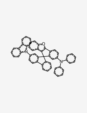 c1ccc(N(c2ccccc2)c2ccc3c(c2)C2(c4ccccc4-c4ccc(-n5c6ccccc6c6ccccc65)cc42)c2c-3oc3ccccc23)cc1